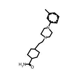 Cc1cccc(N2CCN(CCC3CCC(C(N)=O)CC3)CC2)c1